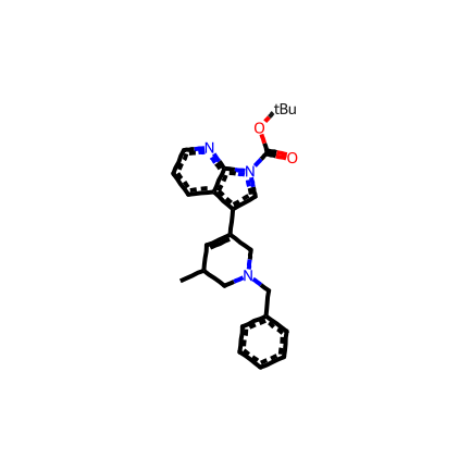 CC1C=C(c2cn(C(=O)OC(C)(C)C)c3ncccc23)CN(Cc2ccccc2)C1